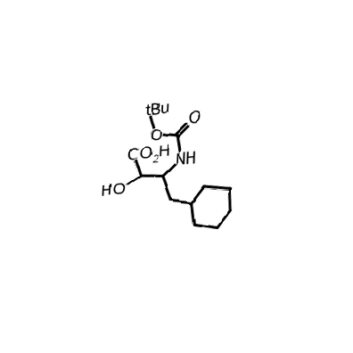 CC(C)(C)OC(=O)NC(CC1CCCCC1)C(O)C(=O)O